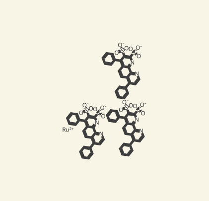 O=S(=O)([O-])c1nc2c(ccc3c(-c4ccccc4)ccnc32)c(-c2ccccc2)c1S(=O)(=O)[O-].O=S(=O)([O-])c1nc2c(ccc3c(-c4ccccc4)ccnc32)c(-c2ccccc2)c1S(=O)(=O)[O-].O=S(=O)([O-])c1nc2c(ccc3c(-c4ccccc4)ccnc32)c(-c2ccccc2)c1S(=O)(=O)[O-].[Ru+2]